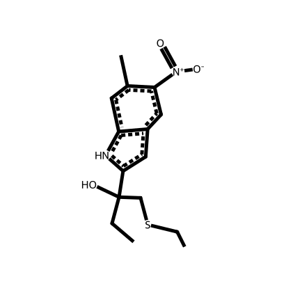 CCSCC(O)(CC)c1cc2cc([N+](=O)[O-])c(C)cc2[nH]1